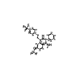 CNC(=O)[C@@H](N[C@H](CCc1ccc(C(F)(F)F)nc1)c1cccc(OC(F)F)c1)c1ccccc1